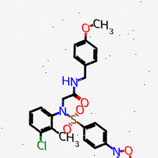 COc1ccc(CNC(=O)CN(c2cccc(Cl)c2C)S(=O)(=O)c2ccc(N3OCO3)cc2)cc1